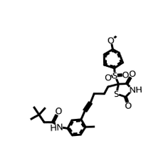 COc1ccc(S(=O)(=O)C2(CCCC#Cc3cc(NC(=O)CC(C)(C)C)ccc3C)SC(=O)NC2=O)cc1